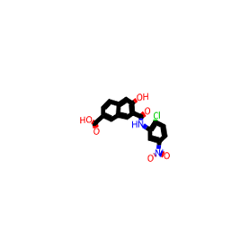 O=C(O)c1ccc2cc(O)c(C(=O)Nc3cc([N+](=O)[O-])ccc3Cl)cc2c1